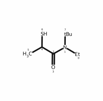 CCN(C(=O)C(C)S)C(C)(C)C